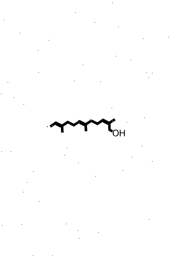 [CH2]/C=C(\C)CC/C=C(\C)CCC=C(C)CO